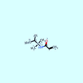 C=CC(=O)N[Si](C)(C)C(CC)OC